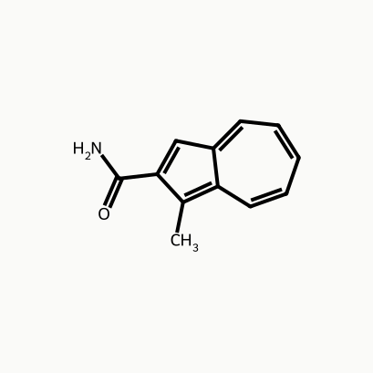 Cc1c(C(N)=O)cc2cccccc1-2